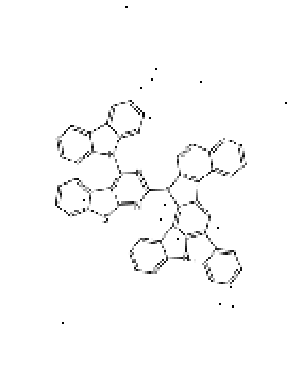 c1ccc2c(c1)ccc1c2c2cc3c4ccccc4n4c5ccccc5c(c2n1-c1nc(-n2c5ccccc5c5ccccc52)c2c(n1)sc1ccccc12)c34